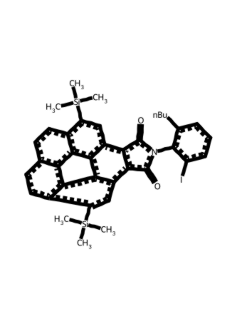 CCCCc1cccc(I)c1-n1c(=O)c2c3cc([Si](C)(C)C)c4ccc5ccc6c([Si](C)(C)C)cc(c2c1=O)c1c6c5c4c31